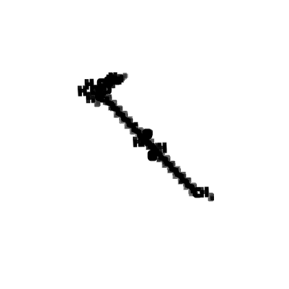 CC(=O)[O-].CC(=O)[O-].CCCCCCCCCCCCCCCC(=O)NCCNC(=O)CCCCCCCCCCCCCCC.[Na+].[Na+]